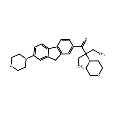 CCC(CC)(C(=O)c1ccc2c(c1)Cc1cc(N3CCOCC3)ccc1-2)N1CCOCC1